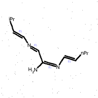 CCC/C=C/N=C(N)\C=N\C=C\C(C)C